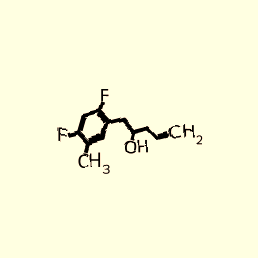 C=CCC(O)Cc1cc(C)c(F)cc1F